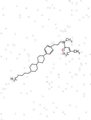 CCCCCC1CCC(C2CCC(c3ccc(CCCN(C)C(=O)C=C(C)C)cc3)CC2)CC1